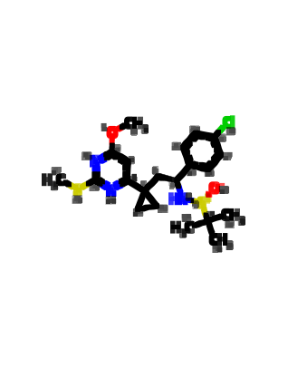 COc1cc(C2(C[C@H](N[S@@+]([O-])C(C)(C)C)c3ccc(Cl)cc3)CC2)nc(SC)n1